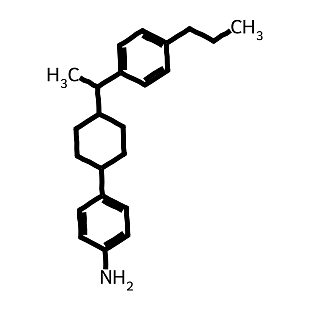 CCCc1ccc(C(C)C2CCC(c3ccc(N)cc3)CC2)cc1